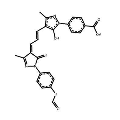 CC1=NN(c2ccc(OC=O)cc2)C(=O)C1=CC=Cc1c(C)nn(-c2ccc(C(=O)O)cc2)c1O